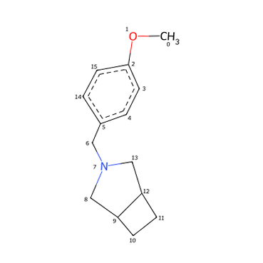 COc1ccc(CN2CC3CCC3C2)cc1